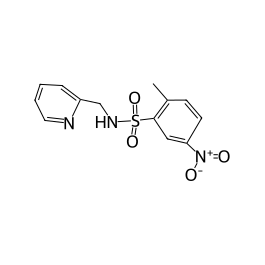 Cc1ccc([N+](=O)[O-])cc1S(=O)(=O)NCc1ccccn1